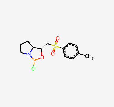 Cc1ccc(S(=O)(=O)C[C@@H]2OP(Cl)N3CCCC23)cc1